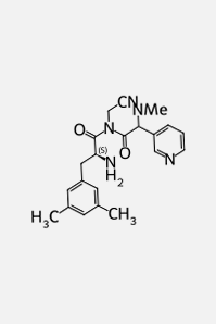 CNC(C(=O)N(CC#N)C(=O)[C@@H](N)Cc1cc(C)cc(C)c1)c1cccnc1